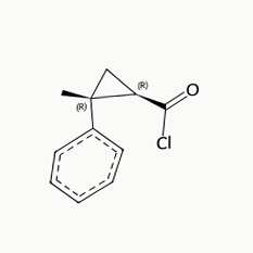 C[C@@]1(c2ccccc2)C[C@H]1C(=O)Cl